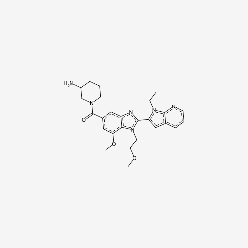 CCn1c(-c2nc3cc(C(=O)N4CCCC(N)C4)cc(OC)c3n2CCOC)cc2cccnc21